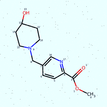 COC(=O)c1ccc(CN2CCC(O)CC2)cn1